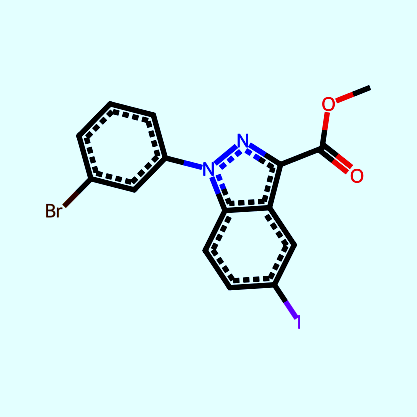 COC(=O)c1nn(-c2cccc(Br)c2)c2ccc(I)cc12